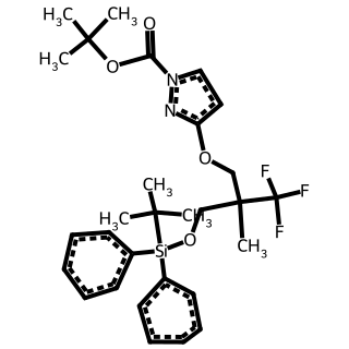 CC(C)(C)OC(=O)n1ccc(OCC(C)(CO[Si](c2ccccc2)(c2ccccc2)C(C)(C)C)C(F)(F)F)n1